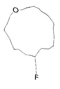 FC1CCCOCC1